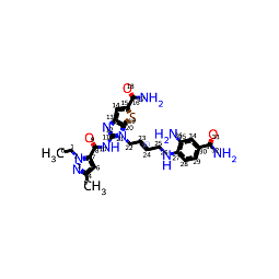 CCn1nc(C)cc1C(=O)Nc1nc2cc(C(N)=O)sc2n1C/C=C/CNc1ccc(C(N)=O)cc1N